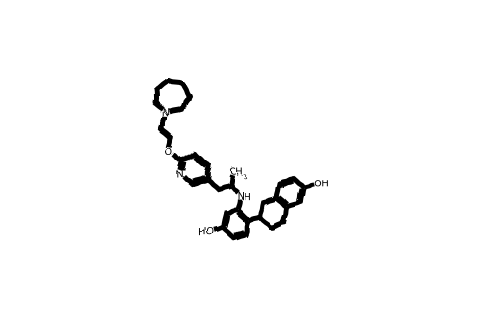 CC(Cc1ccc(OCCN2CCCCCC2)nc1)Nc1cc(O)ccc1C1CCc2cc(O)ccc2C1